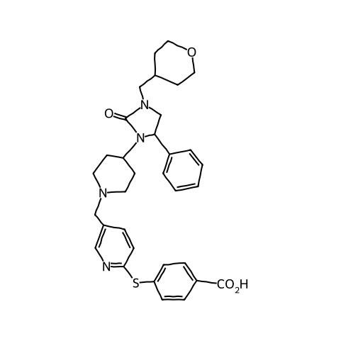 O=C(O)c1ccc(Sc2ccc(CN3CCC(N4C(=O)N(CC5CCOCC5)CC4c4ccccc4)CC3)cn2)cc1